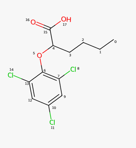 CCCCC(Oc1c(Cl)cc(Cl)cc1Cl)C(=O)O